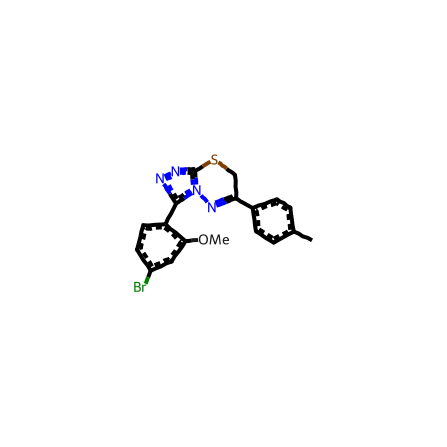 COc1cc(Br)ccc1-c1nnc2n1N=C(c1ccc(C)cc1)CS2